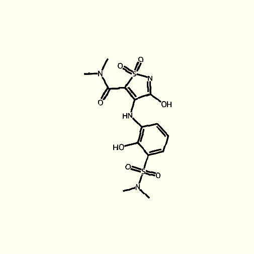 CN(C)C(=O)C1=C(Nc2cccc(S(=O)(=O)N(C)C)c2O)C(O)=NS1(=O)=O